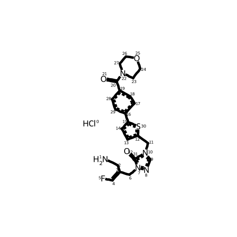 Cl.NC/C(=C\F)Cn1ncn(Cc2ccc(-c3ccc(C(=O)N4CCOCC4)cc3)s2)c1=O